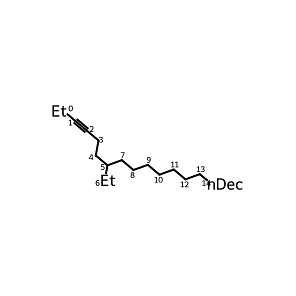 [CH2]CC#CCCC(CC)CCCCCCCCCCCCCCCC[CH2]